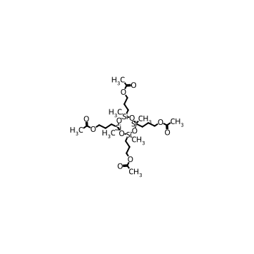 CC(=O)OCCC[Si]1(C)O[Si](C)(CCCOC(C)=O)O[Si](C)(CCCOC(C)=O)O[Si](C)(CCCOC(C)=O)O1